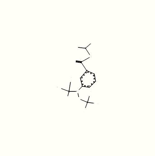 CC(C)NC(=O)c1cccc(N(SC(F)(Cl)Cl)C(F)(F)F)c1